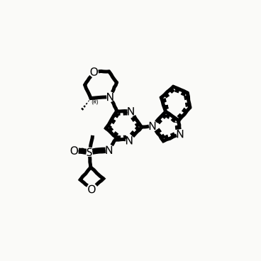 C[C@@H]1COCCN1c1cc(N=S(C)(=O)C2COC2)nc(-n2cnc3ccccc32)n1